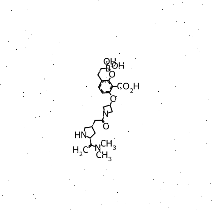 C=C([C@@H]1C[C@H](CC(=O)N2CC(Oc3ccc4c(c3C(=O)O)O[B-](O)(O)CC4)C2)CN1)N(C)C